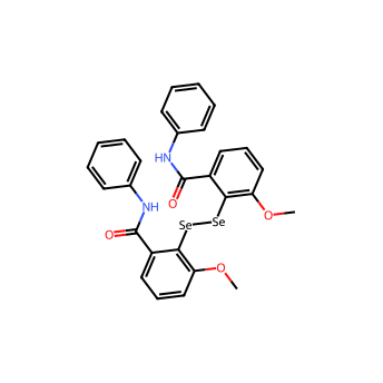 COc1cccc(C(=O)Nc2ccccc2)c1[Se][Se]c1c(OC)cccc1C(=O)Nc1ccccc1